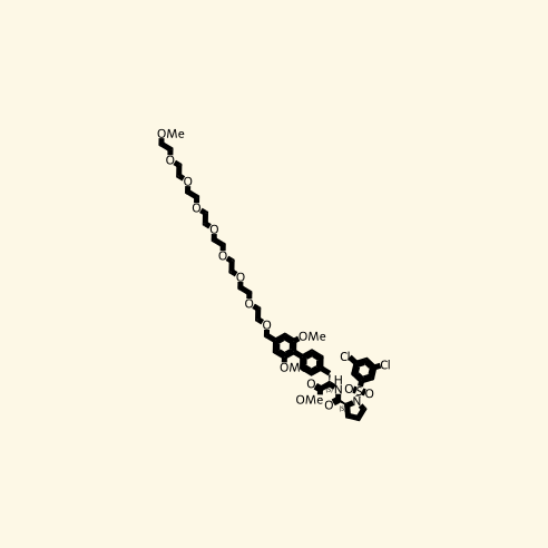 COCCOCCOCCOCCOCCOCCOCCOCCOCc1cc(OC)c(-c2ccc(C[C@H](NC(=O)[C@@H]3CCCN3S(=O)(=O)c3cc(Cl)cc(Cl)c3)C(=O)OC)cc2)c(OC)c1